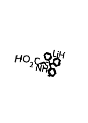 NC(CSC(c1ccccc1)(c1ccccc1)c1ccccc1)C(=O)O.[LiH]